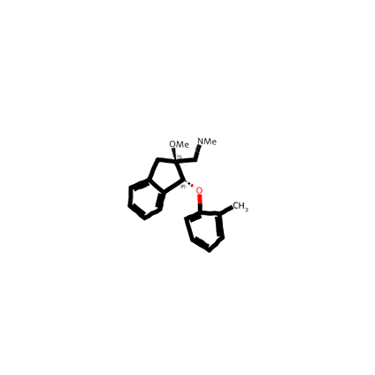 CNC[C@@]1(OC)Cc2ccccc2[C@H]1Oc1ccccc1C